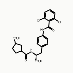 O=C(Nc1ccc(C[C@H](NC(=O)C2CCC(C(=O)O)C2)C(=O)O)cc1)c1c(Cl)cccc1Cl